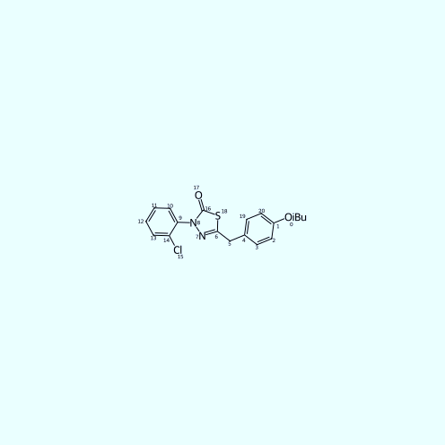 CC(C)COc1ccc(Cc2nn(-c3ccccc3Cl)c(=O)s2)cc1